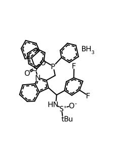 B.CC(C)(C)[S+]([O-])NC(c1cc(F)cc(F)c1)c1c(CP(c2ccccc2)c2ccccc2)n(S(=O)(=O)c2ccccc2)c2ccccc12